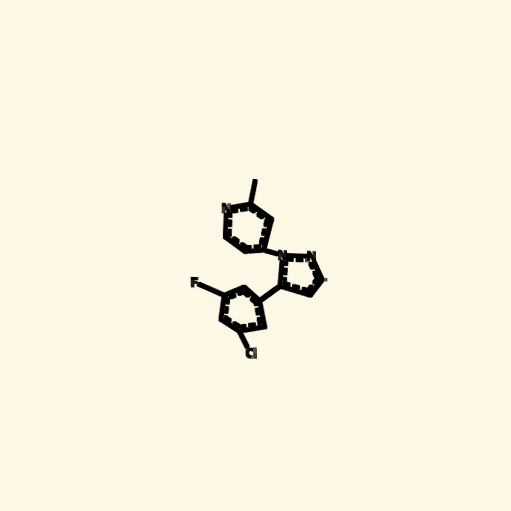 Cc1cc(-n2n[c]cc2-c2cc(F)cc(Cl)c2)ccn1